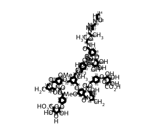 C=C1C[C@H]2C(O)N(C(=O)OCc3ccc(O[C@@H]4O[C@H](C(=O)O)[C@@H](O)[C@H](O)[C@H]4O)cc3)c3cc(OCc4cc(COc5cc6c(cc5OC)C(=O)N5CC(=C)C[C@H]5[C@H](O)N6C(=O)OCc5ccc(O[C@@H]6O[C@H](C(=O)O)[C@@H](O)[C@H](O)[C@H]6O)cc5)cc(C[N+](C)(C)Cc5ccc(OS(=O)(=O)Oc6cc(C(=O)NCC(C)OC(C)Cn7cc(CNC(=O)CI)nn7)ccc6O[C@@H]6O[C@H](C(=O)O)[C@@H](O)[C@H](O)[C@H]6O)cc5)c4)c(OC)cc3C(=O)N2C1